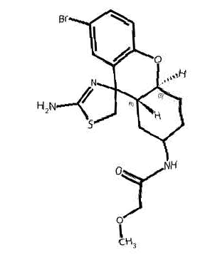 COCC(=O)NC1CC[C@@H]2Oc3ccc(Br)cc3C3(CSC(N)=N3)[C@H]2C1